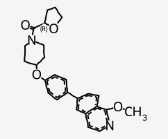 COc1nccc2cc(-c3ccc(OC4CCN(C(=O)[C@H]5CCCO5)CC4)cc3)ccc12